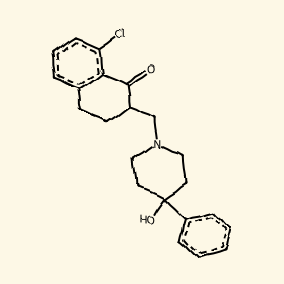 O=C1c2c(Cl)cccc2CCC1CN1CCC(O)(c2ccccc2)CC1